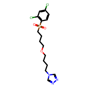 O=S(=O)(CCCCOCCCCn1cnnc1)c1ccc(Cl)cc1Cl